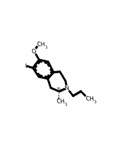 CCCN1CCc2cc(OC)c(I)cc2C[C@H]1C